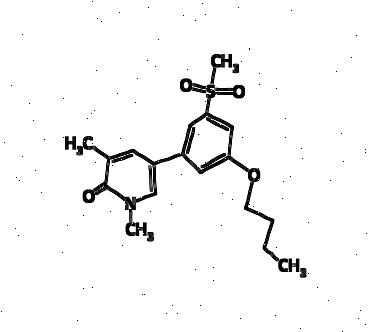 CCCCOc1cc(-c2cc(C)c(=O)n(C)c2)cc(S(C)(=O)=O)c1